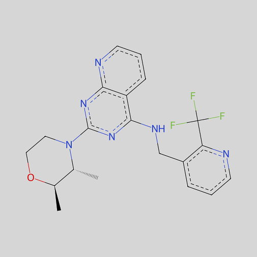 C[C@@H]1[C@@H](C)OCCN1c1nc(NCc2cccnc2C(F)(F)F)c2cccnc2n1